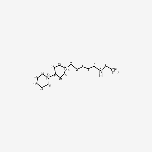 FC(F)(F)CNCCCCCN1CCC(N2CCCCC2)CC1